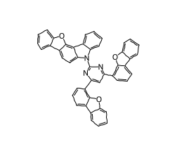 c1ccc2c(c1)oc1c(-c3cc(-c4cccc5c4oc4ccccc45)nc(-n4c5ccccc5c5c6oc7ccccc7c6ccc54)n3)cccc12